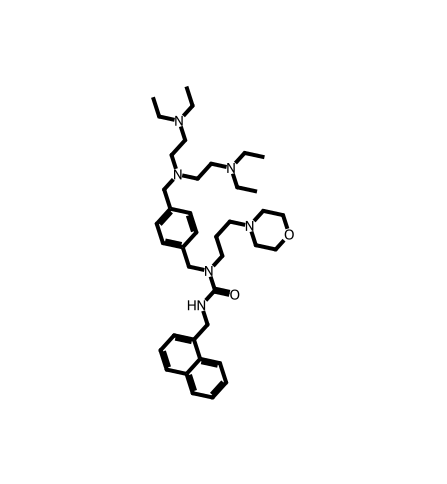 CCN(CC)CCN(CCN(CC)CC)Cc1ccc(CN(CCCN2CCOCC2)C(=O)NCc2cccc3ccccc23)cc1